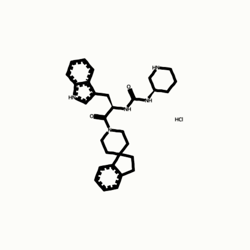 Cl.O=C(N[C@@H]1CCCNC1)N[C@H](Cc1c[nH]c2ccccc12)C(=O)N1CCC2(CCc3ccccc32)CC1